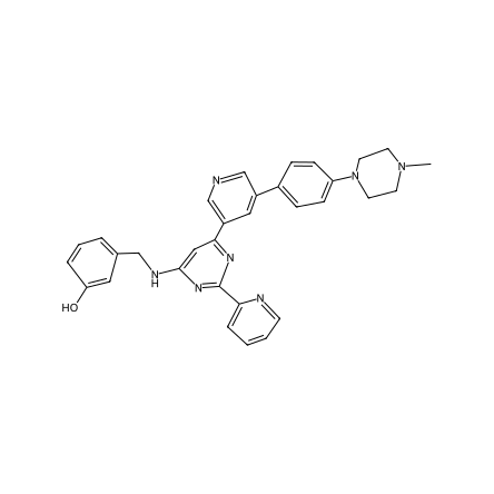 CN1CCN(c2ccc(-c3cncc(-c4cc(NCc5cccc(O)c5)nc(-c5ccccn5)n4)c3)cc2)CC1